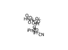 CC(C)N(C(C)C)P(OCCC#N)OC[C@H]1O[C@@H](n2ccc(=O)[nH]c2=O)C2OC(C)(C)O[C@H]21